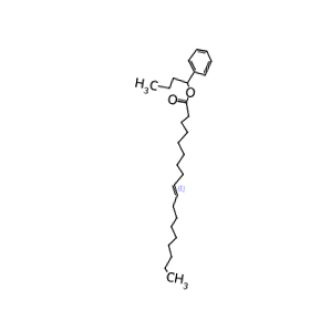 CCCCCCCC/C=C/CCCCCCCC(=O)OC(CCC)c1ccccc1